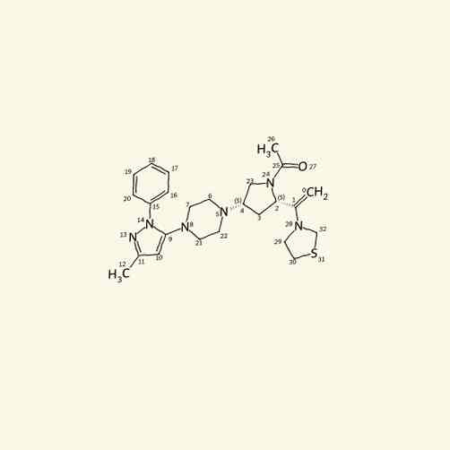 C=C([C@@H]1C[C@H](N2CCN(c3cc(C)nn3-c3ccccc3)CC2)CN1C(C)=O)N1CCSC1